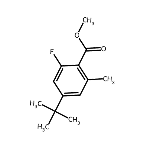 COC(=O)c1c(C)cc(C(C)(C)C)cc1F